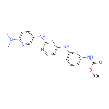 CN(C)c1ccc(Nc2nc[c]c(Nc3cccc(NC(=O)OC(C)(C)C)c3)n2)cn1